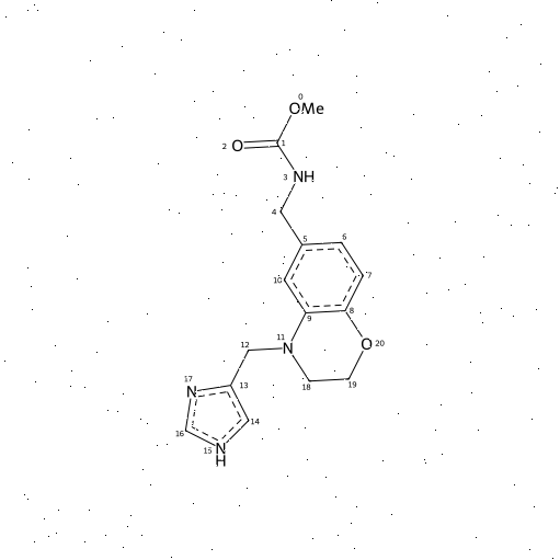 COC(=O)NCc1ccc2c(c1)N(Cc1c[nH]cn1)CCO2